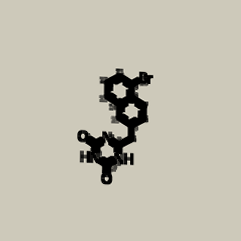 O=c1nc(Cc2ccc3c(Br)cccc3c2)[nH]c(=O)[nH]1